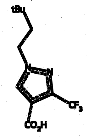 CC(C)(C)CCn1cc(C(=O)O)c(C(F)(F)F)n1